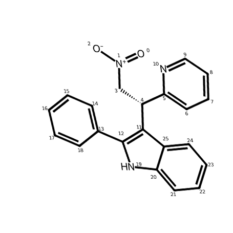 O=[N+]([O-])C[C@H](c1ccccn1)c1c(-c2ccccc2)[nH]c2ccccc12